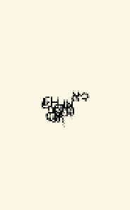 COc1cc(C)c(S(=O)(=O)N2CCCCC2COCC(=O)NCC2CCN(Cc3ccccc3)C2)c(C)c1